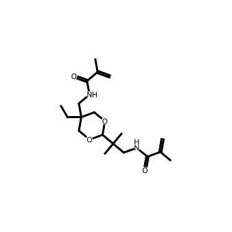 C=C(C)C(=O)NCC1(CC)COC(C(C)(C)CNC(=O)C(=C)C)OC1